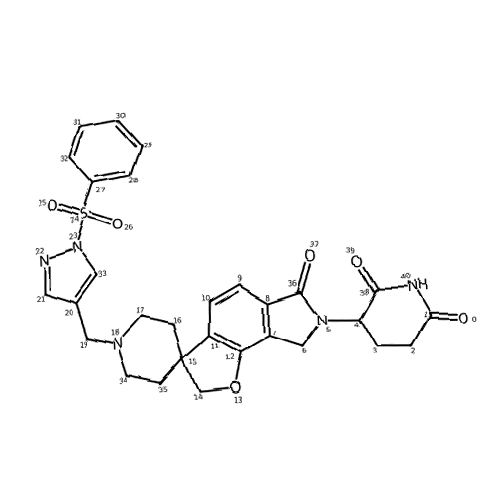 O=C1CCC(N2Cc3c(ccc4c3OCC43CCN(Cc4cnn(S(=O)(=O)c5ccccc5)c4)CC3)C2=O)C(=O)N1